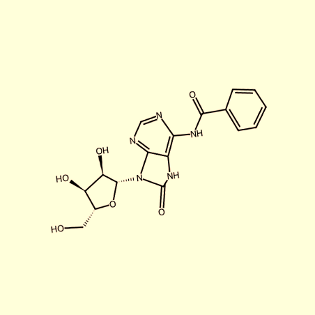 O=C(Nc1ncnc2c1[nH]c(=O)n2[C@@H]1O[C@H](CO)[C@@H](O)[C@H]1O)c1ccccc1